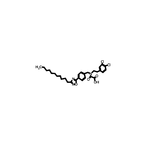 CCCCCCCCCCCc1noc(-c2ccc(CN(CCc3ccc(Cl)c(Cl)c3)C(=O)C(=O)O)cc2)n1